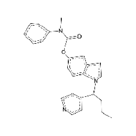 CCCC(c1ccncc1)n1ccc2cc(OC(=O)N(C)c3ccccc3)ccc21